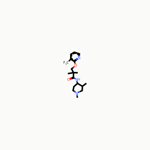 CC1CN(C)CCC1NC(=O)C(C)(C)COc1ncccc1C(F)(F)F